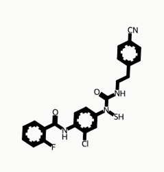 N#Cc1ccc(CCNC(=O)N(S)c2ccc(NC(=O)c3ccccc3F)c(Cl)c2)cc1